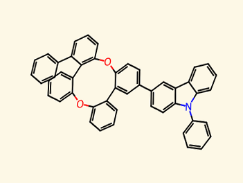 c1ccc(-c2cccc3c2-c2ccccc2Oc2ccccc2-c2cc(-c4ccc5c(c4)c4ccccc4n5-c4ccccc4)ccc2O3)cc1